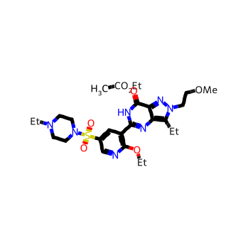 CCOC(C)=O.CCOc1ncc(S(=O)(=O)N2CCN(CC)CC2)cc1-c1nc2c(CC)n(CCOC)nc2c(=O)[nH]1